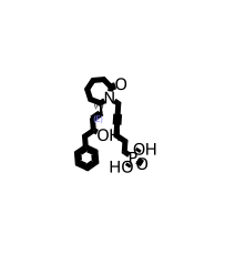 O=C1CCCC[C@H](/C=C/C(O)Cc2ccccc2)N1CC#CCCCP(=O)(O)O